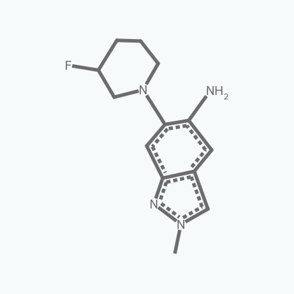 Cn1cc2cc(N)c(N3CCCC(F)C3)cc2n1